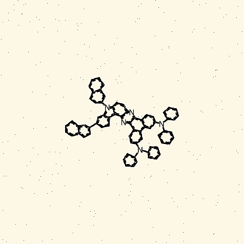 c1ccc(N(c2ccccc2)c2ccc3c(c2)c2cc(N(c4ccccc4)c4ccccc4)ccc2c2nc4c(ccc5c4c4ccc(-c6ccc7ccccc7c6)cc4n5-c4ccc5ccccc5c4)nc32)cc1